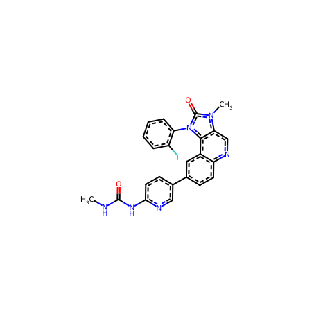 CNC(=O)Nc1ccc(-c2ccc3ncc4c(c3c2)n(-c2ccccc2F)c(=O)n4C)cn1